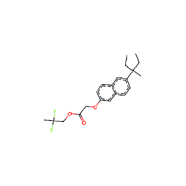 CCC(C)(CC)c1ccc2cc(OCC(=O)OCC(C)(F)F)ccc2c1